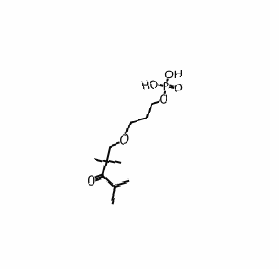 CC(C)C(=O)C(C)(C)COCCCOP(=O)(O)O